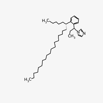 CCCCCCCCCCCCCCCCCC[C@H](CCCCC)c1ccccc1C(CC)n1ccnc1